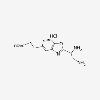 CCCCCCCCCCCCc1ccc2oc(C(N)CN)nc2c1.Cl